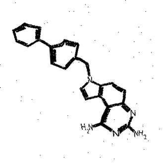 Nc1nc(N)c2c(ccc3c2ccn3Cc2ccc(-c3ccccc3)cc2)n1